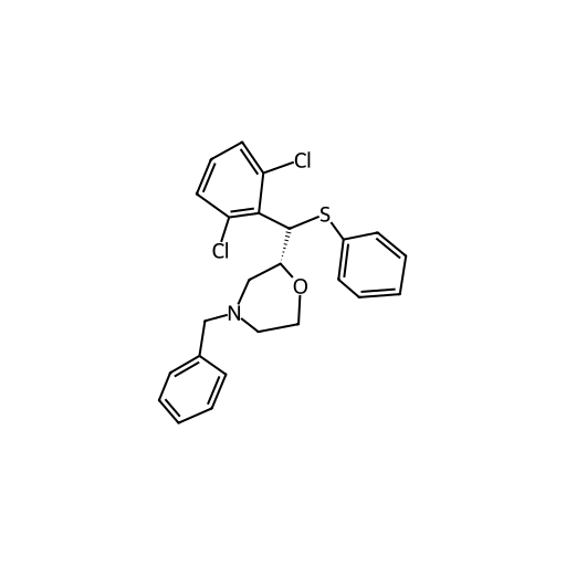 Clc1cccc(Cl)c1C(Sc1ccccc1)[C@H]1CN(Cc2ccccc2)CCO1